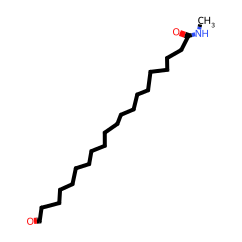 CNC(=O)CCCCCCCCCCCCCCCCCCC=O